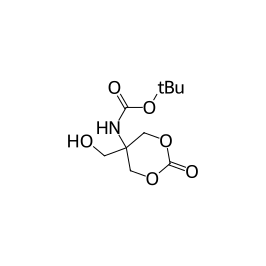 CC(C)(C)OC(=O)NC1(CO)COC(=O)OC1